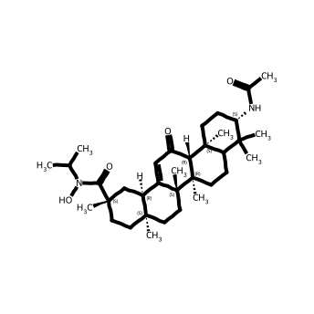 CC(=O)N[C@H]1CC[C@@]2(C)C(CC[C@]3(C)[C@@H]2C(=O)C=C2[C@@H]4C[C@@](C)(C(=O)N(O)C(C)C)CC[C@]4(C)CC[C@]23C)C1(C)C